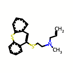 C=CCN(C)CCSC1=Cc2ccccc2Sc2ccccc21